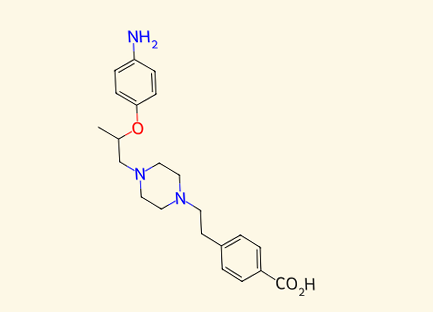 CC(CN1CCN(CCc2ccc(C(=O)O)cc2)CC1)Oc1ccc(N)cc1